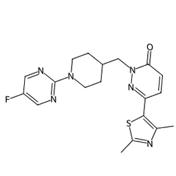 Cc1nc(C)c(-c2ccc(=O)n(CC3CCN(c4ncc(F)cn4)CC3)n2)s1